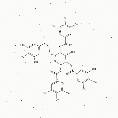 O=C(CCC1OC(OC(=O)c2cc(O)c(O)c(O)c2)C(OC(=O)c2cc(O)c(O)c(O)c2)C(O)C1OC(=O)c1cc(O)c(O)c(O)c1)c1cc(O)c(O)c(O)c1